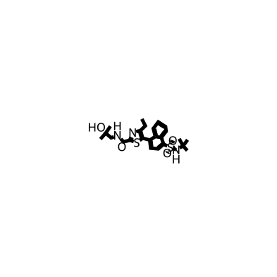 CCc1nc(C(=O)NCC(C)(C)O)sc1-c1ccc(S(=O)(=O)NC(C)(C)C)c2ccccc12